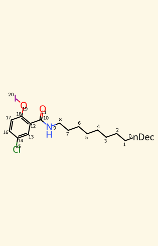 CCCCCCCCCCCCCCCCCCNC(=O)c1cc(Cl)ccc1OI